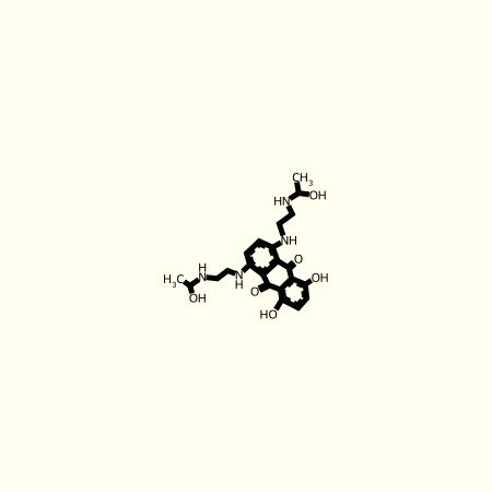 CC(O)NCCNc1ccc(NCCNC(C)O)c2c1C(=O)c1c(O)ccc(O)c1C2=O